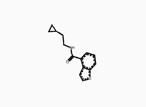 O=C(NCC[C]1CC1)c1cccc2occc12